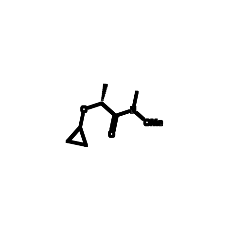 CON(C)C(=O)[C@@H](C)OC1CC1